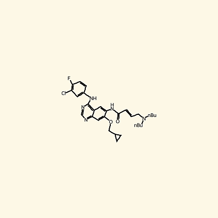 CCCCN(CC=CC(=O)Nc1cc2c(Nc3ccc(F)c(Cl)c3)ncnc2cc1OCC1CC1)CCCC